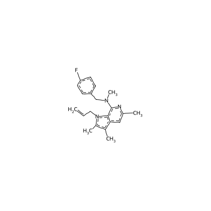 C=CCn1c(C)c(C)c2cc(C)nc(N(C)Cc3ccc(F)cc3)c21